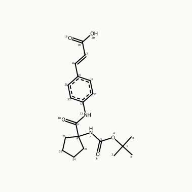 CC(C)(C)OC(=O)NC1(C(=O)Nc2ccc(/C=C/C(=O)O)cc2)CCCC1